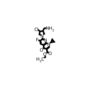 CCOC(=O)c1cn(C2CC2)c2nc(N3CC(Cl)C(CN)C3)c(F)cc2c1=O